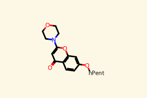 CCCCCOc1ccc2c(=O)cc(N3CCOCC3)oc2c1